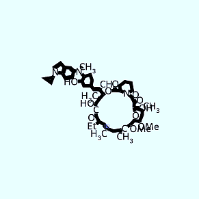 CCC1/C=C(\C)CC(C)CC(OC)C2OC(O)(C(=O)C(=O)N3CCCCC3C(=O)OC(C(C)=CC3CCC(N(C)c4ccc5c(ccn5C5CC5)c4)C(O)C3)C(C)C(O)CC1=O)C(C)CC2OC